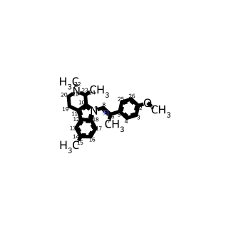 COc1ccc(/C(C)=C/n2c3c(c4cc(C)ccc42)CCN(C)C3C)cc1